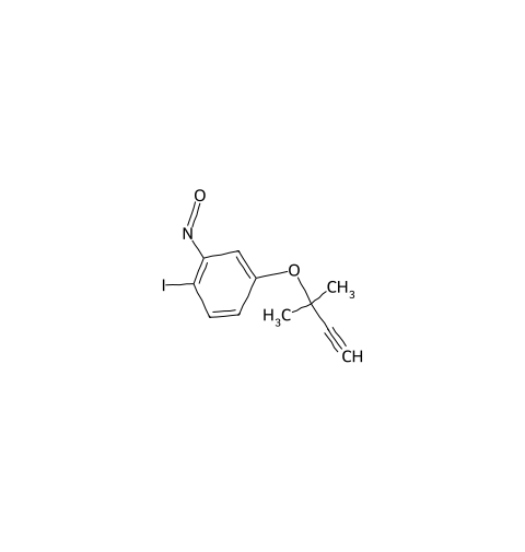 C#CC(C)(C)Oc1ccc(I)c(N=O)c1